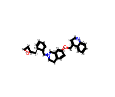 C1=CC(CN2CCc3ccc(OCc4ccnc5ccccc45)cc3C2)[C@@H](CC2CCO2)C=C1